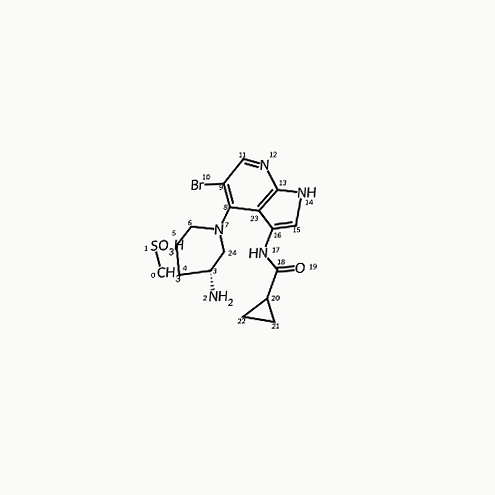 CS(=O)(=O)O.N[C@@H]1CCCN(c2c(Br)cnc3[nH]cc(NC(=O)C4CC4)c23)C1